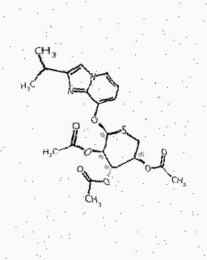 CC(=O)O[C@@H]1[C@@H](OC(C)=O)[C@@H](Oc2cccn3cc(C(C)C)nc23)SC[C@H]1OC(C)=O